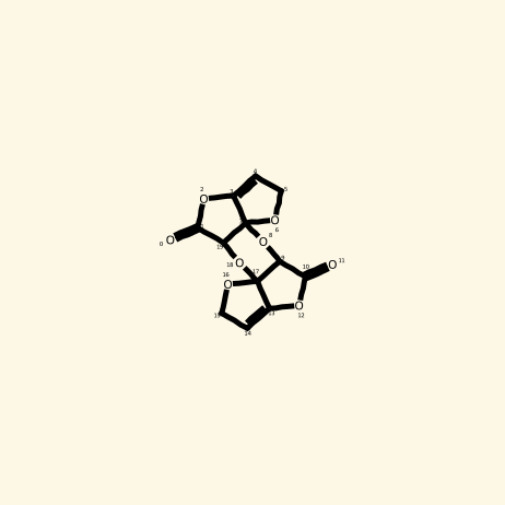 O=C1OC2=CCOC23OC2C(=O)OC4=CCOC42OC13